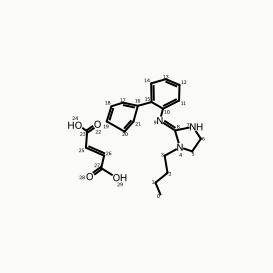 CCCCN1CCNC1=Nc1ccccc1-c1ccccc1.O=C(O)C=CC(=O)O